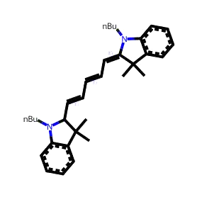 CCCCN1/C(=C/C=C/C=C/C2N(CCCC)c3ccccc3C2(C)C)C(C)(C)c2ccccc21